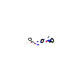 CCn1c(C(=O)Nc2ccc(N3CCN(C(=O)CC(C(=O)O)C4CCCCC4)CC3)cc2)cc2c(Cl)c(Cl)ccc21